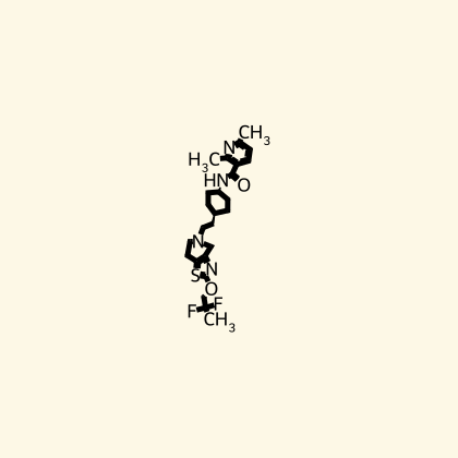 Cc1ccc(C(=O)N[C@H]2CC[C@H](CCN3CCc4sc(OCC(C)(F)F)nc4C3)CC2)c(C)n1